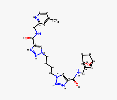 O=C(NCc1cc(C(F)(F)F)ccn1)c1cn(CCCCn2cc(C(=O)NCc3cc4oc3CC4)nn2)nn1